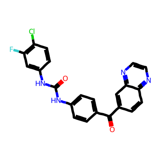 O=C(Nc1ccc(C(=O)c2ccc3nccnc3c2)cc1)Nc1ccc(Cl)c(F)c1